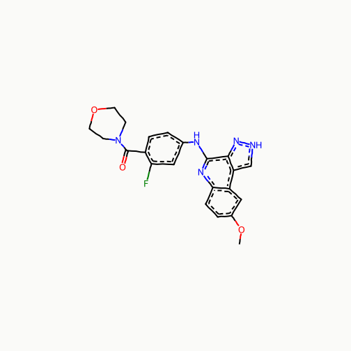 COc1ccc2nc(Nc3ccc(C(=O)N4CCOCC4)c(F)c3)c3n[nH]cc3c2c1